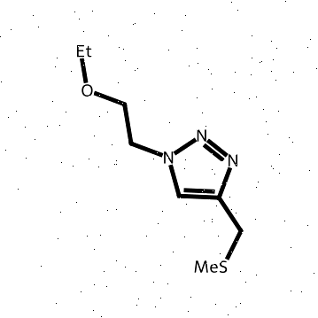 CCOCCn1cc(CSC)nn1